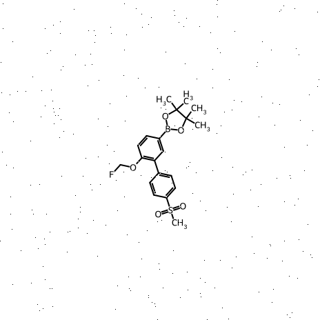 CC1(C)OB(c2ccc(OCF)c(-c3ccc(S(C)(=O)=O)cc3)c2)OC1(C)C